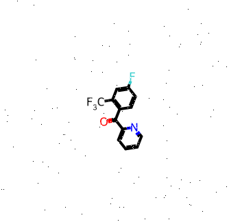 O=C(c1ccccn1)c1ccc(F)cc1C(F)(F)F